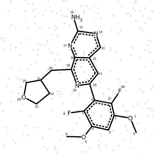 COc1cc(OC)c(F)c(-c2cc3cnc(N)nc3c(CC3CCOC3)n2)c1F